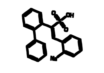 O=S(=O)(O)C(=Cc1cccc[c]1[Na])c1ccccc1-c1ccccc1